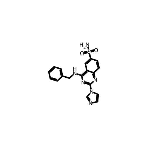 NS(=O)(=O)c1ccc2nc(-n3ccnc3)nc(NCc3ccccc3)c2c1